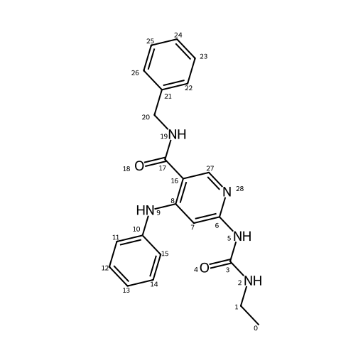 CCNC(=O)Nc1cc(Nc2ccccc2)c(C(=O)NCc2ccccc2)cn1